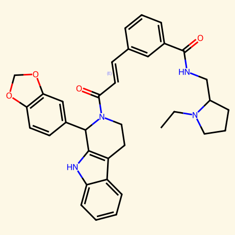 CCN1CCCC1CNC(=O)c1cccc(/C=C/C(=O)N2CCc3c([nH]c4ccccc34)C2c2ccc3c(c2)OCO3)c1